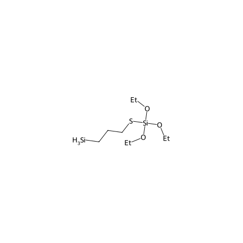 CCO[Si](OCC)(OCC)SCCC[SiH3]